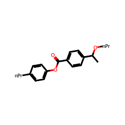 CCCOC(C)c1ccc(C(=O)Oc2ccc(CCC)cc2)cc1